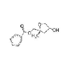 C[C@]1(COC(=O)c2ccccc2)CC(O)CO1